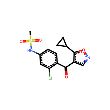 CS(=O)(=O)Nc1ccc(C(=O)c2cnoc2C2CC2)c(Cl)c1